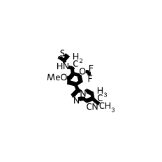 C=C(NC1CSC1)c1c(OC)cc(-c2cnc3cc(C(C)(C)C#N)ccn23)cc1OC(F)F